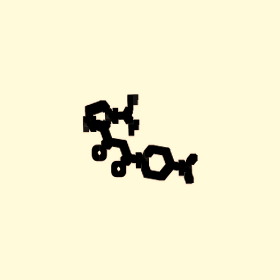 CN(C)C1CCN(C(=O)CC(=O)c2nccn2C(F)F)CC1